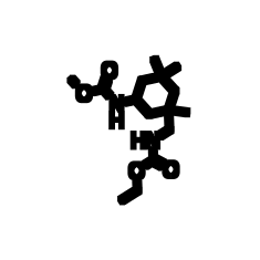 CCOC(=O)NCC1(C)CC(NC(=O)OC)CC(C)(C)C1